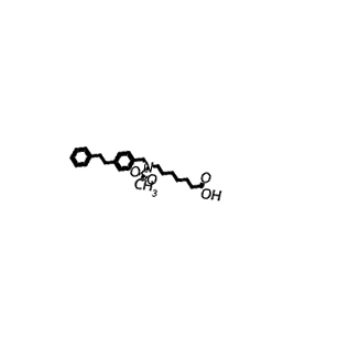 CS(=O)(=O)N(CCCCCCC(=O)O)Cc1ccc(CCc2ccccc2)cc1